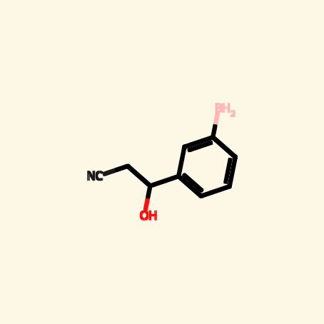 Bc1cccc(C(O)CC#N)c1